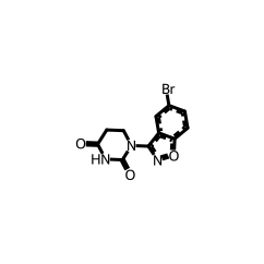 O=C1CCN(c2noc3ccc(Br)cc23)C(=O)N1